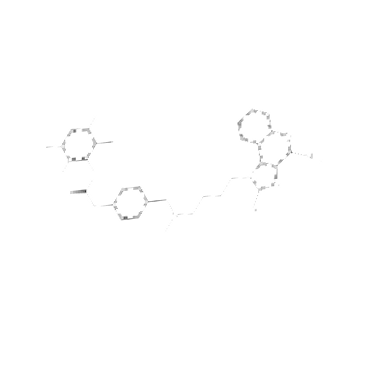 CCCCc1nc2c(N)nc3ccccc3c2n1CCCCN(C)Cc1ccc(CC(=O)Oc2c(F)c(F)cc(F)c2F)cc1